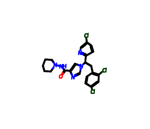 O=C(NN1CCCCC1)c1cn(C(Cc2ccc(Cl)cc2Cl)c2ccc(Cl)cn2)cn1